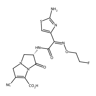 N#CC1=C(C(=O)O)N2C(=O)[C@@H](NC(=O)/C(=N\OCCF)c3csc(N)n3)CN2C1